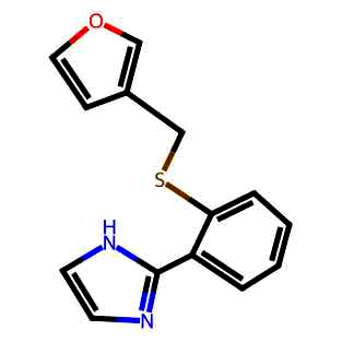 c1ccc(-c2ncc[nH]2)c(SCc2ccoc2)c1